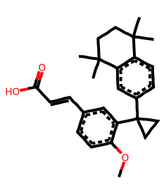 COc1ccc(/C=C/C(=O)O)cc1C1(c2ccc3c(c2)C(C)(C)CCC3(C)C)CC1